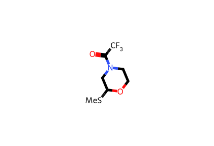 CSC1CN(C(=O)C(F)(F)F)CCO1